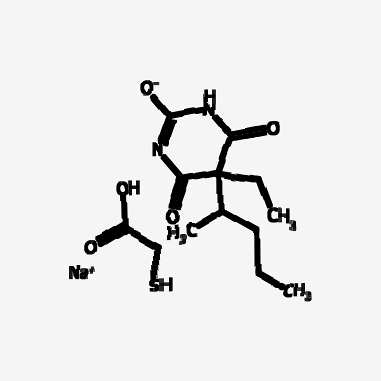 CCCC(C)C1(CC)C(=O)N=C([O-])NC1=O.O=C(O)CS.[Na+]